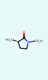 O=C(O)[C@@H]1CCN(C(=O)O)C1=O